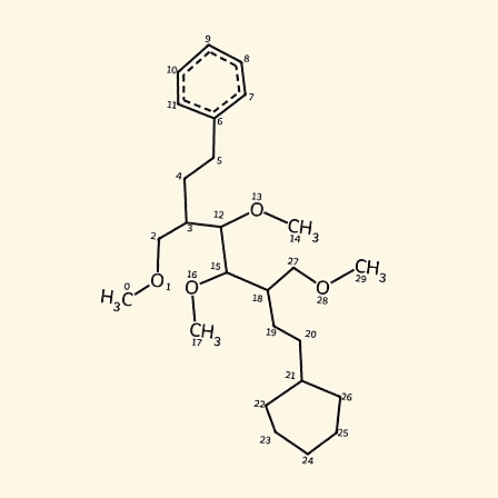 COCC(CCc1ccccc1)C(OC)C(OC)C(CCC1CCCCC1)COC